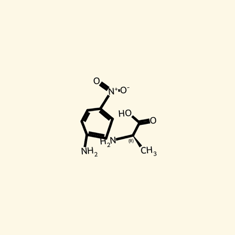 C[C@@H](N)C(=O)O.Nc1ccc([N+](=O)[O-])cc1